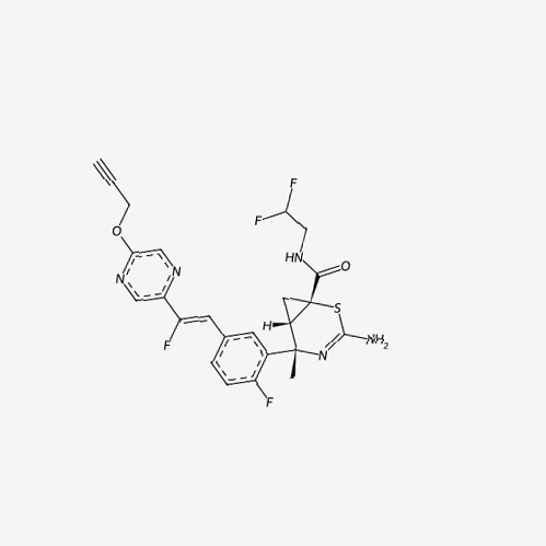 C#CCOc1cnc(/C(F)=C/c2ccc(F)c([C@@]3(C)N=C(N)S[C@@]4(C(=O)NCC(F)F)C[C@H]43)c2)cn1